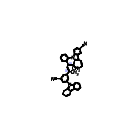 C/C=C(\C=C(/C)c1cc(C#N)cc(-n2c3c(c4ccccc42)C=CCC3)c1)c1ccccc1-n1c2c(c3cc(C#N)ccc31)C=CC=CC2